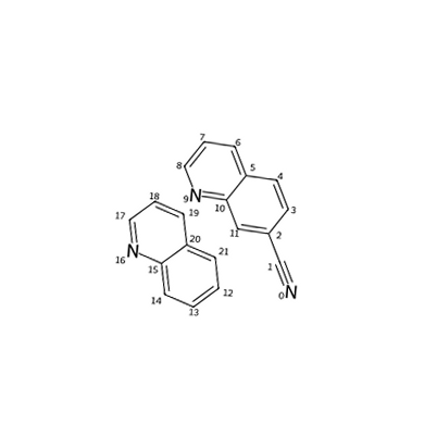 N#Cc1ccc2cccnc2c1.c1ccc2ncccc2c1